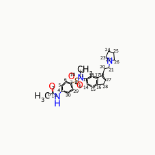 CC(=O)Nc1ccc(S(=O)(=O)N(C)c2ccc3c(c2)C(CCN2CCCC2)=CC3)cc1